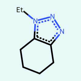 CCn1nnc2c1CCCC2